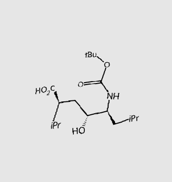 CC(C)C[C@H](NC(=O)OC(C)(C)C)[C@H](O)C[C@H](C(=O)O)C(C)C